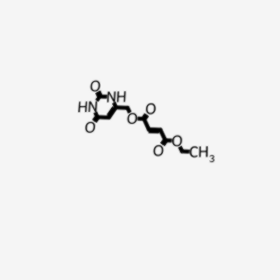 CCOC(=O)/C=C/C(=O)OCc1cc(=O)[nH]c(=O)[nH]1